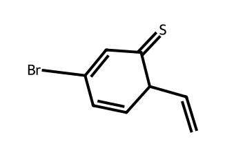 C=CC1C=CC(Br)=CC1=S